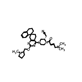 CN(C)C/C=C/C(=O)N1CCN(c2nc(OCC3CCCN3C)nc3c2CCC2(CCCc4ccccc42)C3)C[C@@H]1CC#N